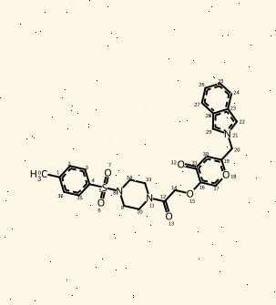 Cc1ccc(S(=O)(=O)N2CCN(C(=O)COc3coc(Cn4cc5ccccc5c4)cc3=O)CC2)cc1